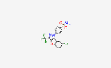 NS(=O)(=O)c1ccc(-n2nc(C(F)(F)F)c3oc4ccc(Cl)cc4c32)cc1